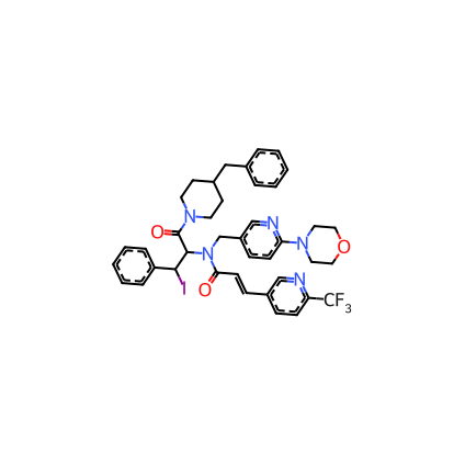 O=C(C(C(I)c1ccccc1)N(Cc1ccc(N2CCOCC2)nc1)C(=O)C=Cc1ccc(C(F)(F)F)nc1)N1CCC(Cc2ccccc2)CC1